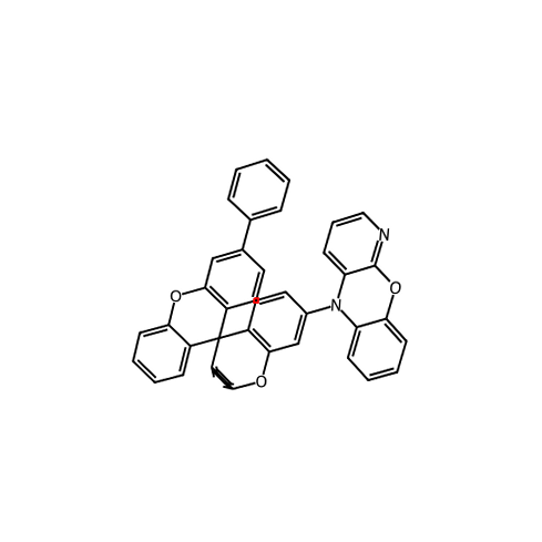 c1ccc(-c2ccc3c(c2)Oc2ccccc2C32c3ccccc3Oc3cc(N4c5ccccc5Oc5ncccc54)ccc32)cc1